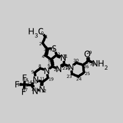 CCCc1cc2c(N3CCn4c(nnc4C(F)(F)F)C3)nc(N3CCCC(C(N)=O)C3)nc2s1